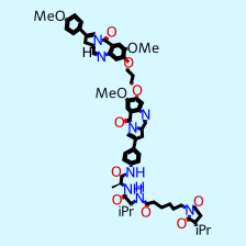 COc1ccc(C2=CN3C(=O)c4cc(OC)c(OCCCOc5cc6c(cc5OC)C(=O)N5C=C(c7ccc(NC(=O)[C@H](C)NC(=O)C(NC(=O)CCCCCN8C(=O)CC(C(C)C)C8=O)C(C)C)cc7)CC5C=N6)cc4N=C[C@@H]3C2)cc1